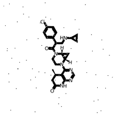 C[C@@H]1CC(=O)Nc2ncnc(N3CCN(C(=O)C(CNC4CC4)c4ccc(Cl)cc4)[C@@H]4C[C@@H]43)c21